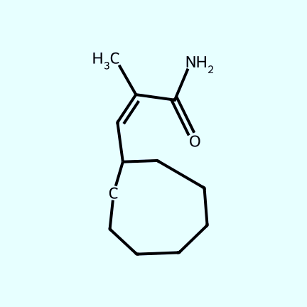 CC(=CC1CCCCCCC1)C(N)=O